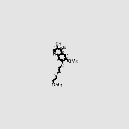 COCCOCCOc1cc2ncc(C#N)c(Cl)c2cc1OC